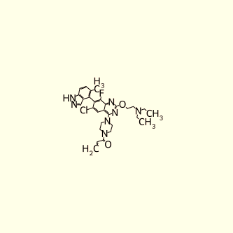 C=CC(=O)N1CCN(c2nc(OCCN(CC)CC)nc3c(F)c(-c4c(C)ccc5[nH]ncc45)c(Cl)cc23)CC1